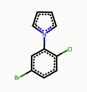 Clc1ccc(Br)cc1-n1[c]ccc1